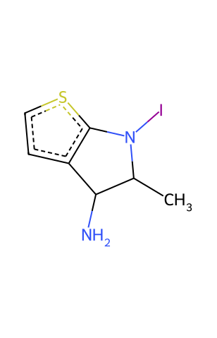 CC1C(N)c2ccsc2N1I